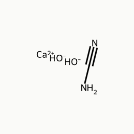 N#CN.[Ca+2].[OH-].[OH-]